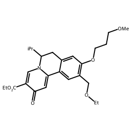 CCOCc1cc2c(cc1OCCCOC)CC(C(C)C)n1cc(C(=O)OCC)c(=O)cc1-2